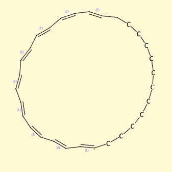 [C]1=C/C=C/C=C\C=C\C=C\C=C\C=C\C=C/C=C/CCCCCCCCCCCC/1